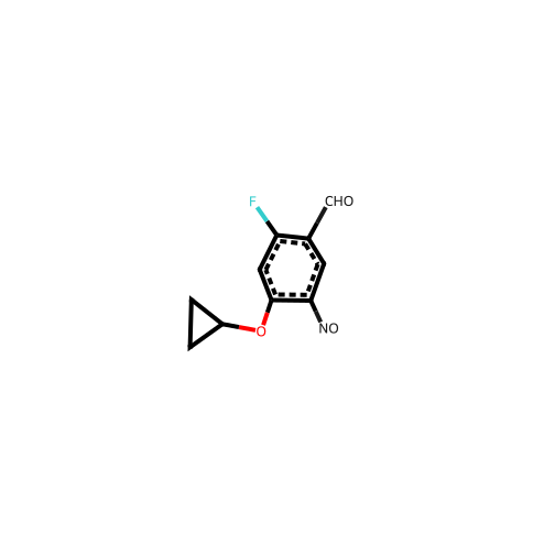 O=Cc1cc(N=O)c(OC2CC2)cc1F